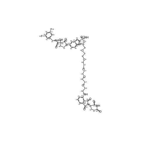 N=S(=O)(OCCOCCOCCOCCOCCOCCNc1cccc2c1C(=O)N(C1CCC(=O)NC1=O)C2=O)c1cc2cc(N3CCC(O)(C(=O)NCc4cc(F)cc(F)c4)C3=O)ccc2[nH]1